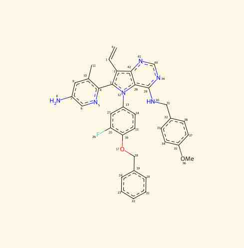 C=Cc1c(-c2ncc(N)cc2C)n(-c2ccc(OCc3ccccc3)c(F)c2)c2c(NCc3ccc(OC)cc3)ncnc12